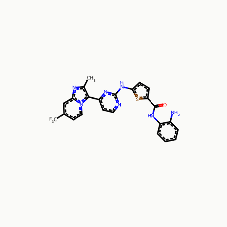 Cc1nc2cc(C(F)(F)F)ccn2c1-c1ccnc(Nc2ccc(C(=O)Nc3ccccc3N)s2)n1